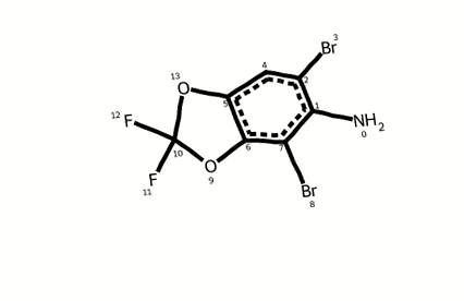 Nc1c(Br)cc2c(c1Br)OC(F)(F)O2